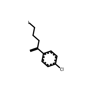 C=C(CCCI)c1ccc(Cl)cc1